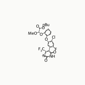 CCCCOC(=O)C(OC)Oc1ccccc1Oc1cc(-c2c(C(F)(F)F)n(C)c(=O)[nH]c2=O)c(F)cc1Cl